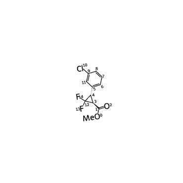 COC(=O)[C@@H]1[C@@H](c2cccc(Cl)c2)C1(F)F